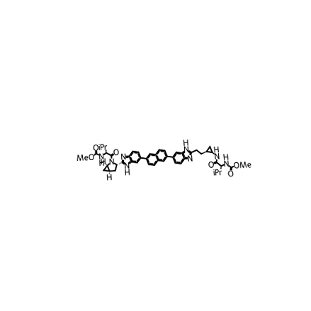 COC(=O)N[C@H](C(=O)N[C@@H]1C[C@@H]1CCc1nc2ccc(-c3ccc4cc(-c5ccc6nc([C@@H]7C[C@H]8C[C@H]8N7C(=O)[C@@H](NC(=O)OC)C(C)C)[nH]c6c5)ccc4c3)cc2[nH]1)C(C)C